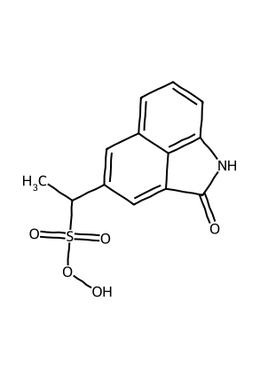 CC(c1cc2c3c(cccc3c1)NC2=O)S(=O)(=O)OO